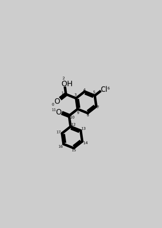 O=C(O)c1cc(Cl)ccc1C(=O)c1ccccc1